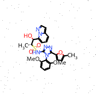 COc1cccc(OC)c1-n1c(NS(=O)(=O)[C@H](C)[C@@H](O)c2cccc3ccnn23)nnc1-c1ccc(C)o1